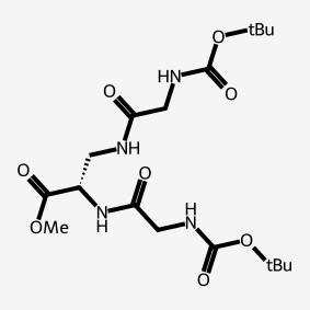 COC(=O)[C@H](CNC(=O)CNC(=O)OC(C)(C)C)NC(=O)CNC(=O)OC(C)(C)C